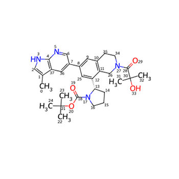 Cc1c[nH]c2ncc(-c3cc4c(c([C@@H]5CCCN5C(=O)OC(C)(C)C)c3)CN(C(=O)C(C)(C)O)CC4)cc12